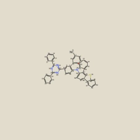 N#Cc1cccc(-c2cc(-c3nc(-c4ccccc4)nc(-c4ccccc4)n3)ccc2-n2c3ccccc3c3c4sc5ccccc5c4ccc32)c1